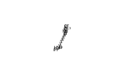 CC(C)CNC(=O)C=CC=CCCCCCCCOc1ccc2cc(C(F)(F)F)ccc2n1